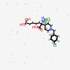 Cl.Cl.NC(CCCCB(O)O)(C(=O)O)C1CCN(Cc2ccc(Cl)cc2)CC1